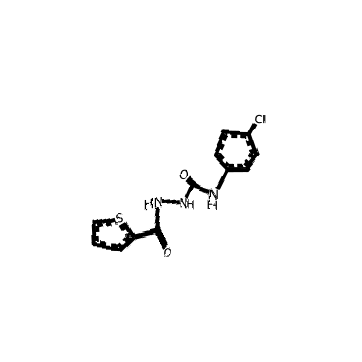 O=C(NNC(=O)c1cccs1)Nc1ccc(Cl)cc1